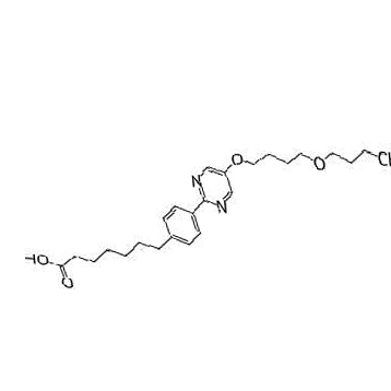 CCCCOCCCCOc1cnc(-c2ccc(CCCCCCC(=O)O)cc2)nc1